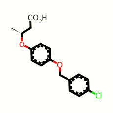 C[C@H](CC(=O)O)Oc1ccc(OCc2ccc(Cl)cc2)cc1